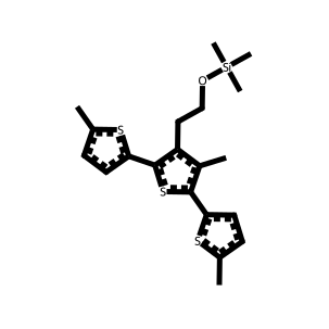 Cc1ccc(-c2sc(-c3ccc(C)s3)c(CCO[Si](C)(C)C)c2C)s1